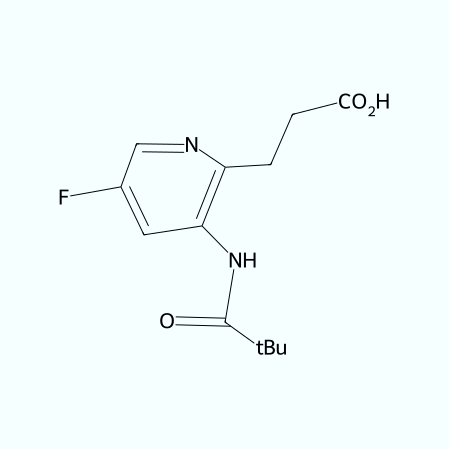 CC(C)(C)C(=O)Nc1cc(F)cnc1CCC(=O)O